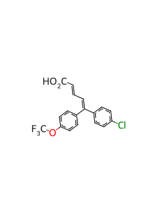 O=C(O)C=CC=C(c1ccc(Cl)cc1)c1ccc(OC(F)(F)F)cc1